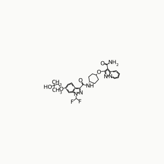 CC(C)(O)COc1ccc2c(C(=O)N[C@H]3CC[C@H](Oc4nn5ccccc5c4C(N)=O)CC3)nn(C(F)F)c2c1